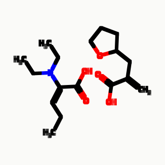 C=C(CC1CCCO1)C(=O)O.CC/C=C(\C(=O)O)N(CC)CC